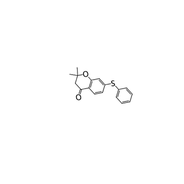 CC1(C)CC(=O)c2ccc(Sc3ccccc3)cc2O1